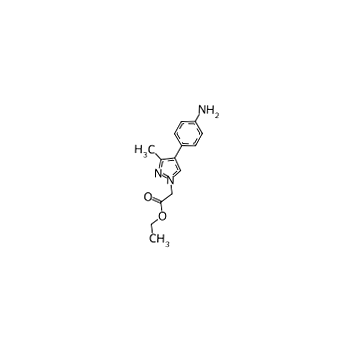 CCOC(=O)Cn1cc(-c2ccc(N)cc2)c(C)n1